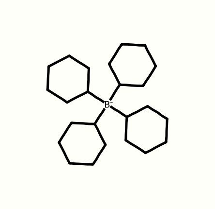 C1CCC([B-](C2CCCCC2)(C2CCCCC2)C2CCCCC2)CC1